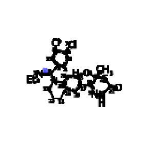 CC/N=C(/c1ccc(Cl)c(Cl)c1)N1CCCc2cc(C3=NNC(=O)SC3(C)C)ccc21